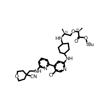 C[C@H](OC[C@H](C)NC1CCC(Nc2cc(-c3cccc(NCC4(C#N)CCOCC4)n3)c(Cl)cn2)CC1)C(=O)OC(C)(C)C